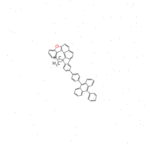 CC1(C)c2ccc(-c3ccc(-c4c5ccccc5c(-c5ccccc5)c5ccccc45)cc3)cc2-c2ccc3ccc4oc5ccccc5c4c3c21